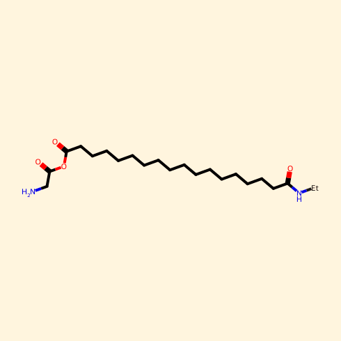 CCNC(=O)CCCCCCCCCCCCCCCCC(=O)OC(=O)CN